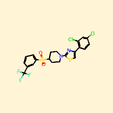 O=S(=O)(c1cccc(C(F)(F)F)c1)C1CCN(c2nc(-c3ccc(Cl)cc3Cl)cs2)CC1